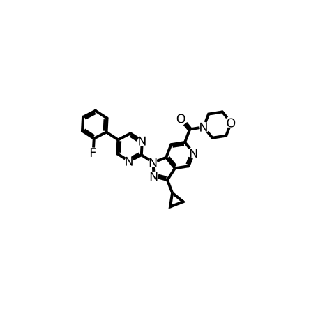 O=C(c1cc2c(cn1)c(C1CC1)nn2-c1ncc(-c2ccccc2F)cn1)N1CCOCC1